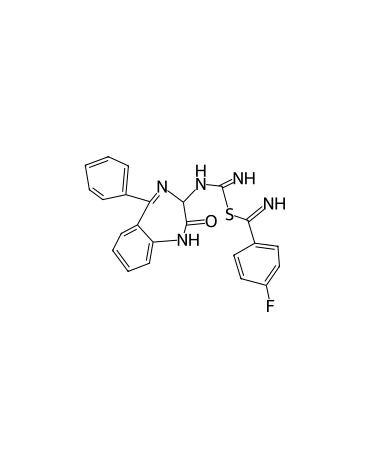 N=C(NC1N=C(c2ccccc2)c2ccccc2NC1=O)SC(=N)c1ccc(F)cc1